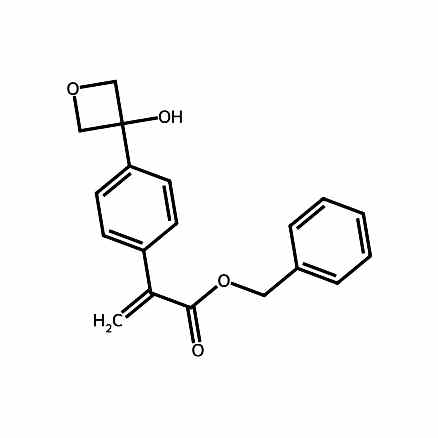 C=C(C(=O)OCc1ccccc1)c1ccc(C2(O)COC2)cc1